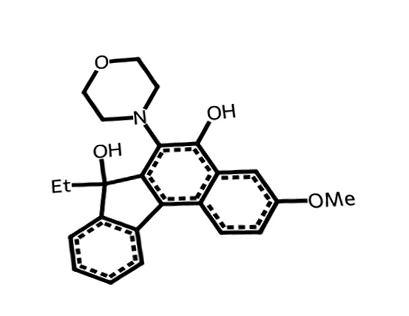 CCC1(O)c2ccccc2-c2c1c(N1CCOCC1)c(O)c1cc(OC)ccc21